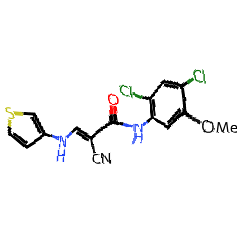 COc1cc(NC(=O)/C(C#N)=C/Nc2ccsc2)c(Cl)cc1Cl